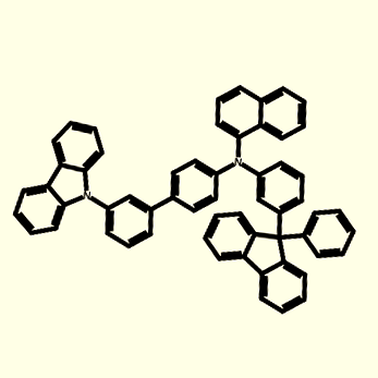 c1ccc(C2(c3cccc(N(c4ccc(-c5cccc(-n6c7ccccc7c7ccccc76)c5)cc4)c4cccc5ccccc45)c3)c3ccccc3-c3ccccc32)cc1